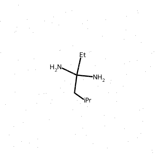 CCC(N)(N)CC(C)C